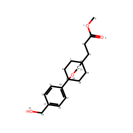 COC(=O)CCC12CCC(c3ccc(CO)cc3)(CC1)OC2